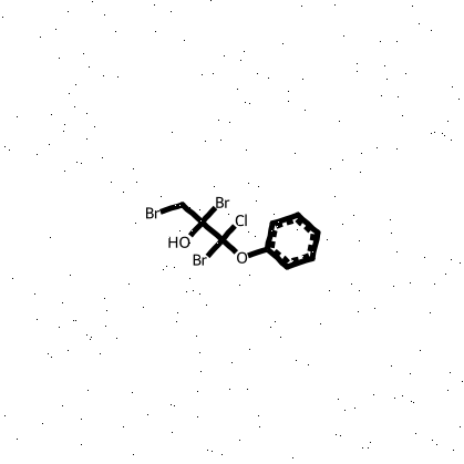 OC(Br)(CBr)C(Cl)(Br)Oc1ccccc1